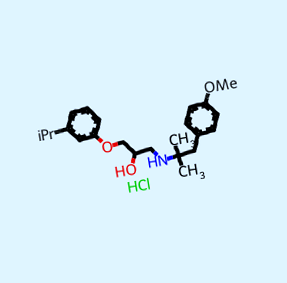 COc1ccc(CC(C)(C)NCC(O)COc2cccc(C(C)C)c2)cc1.Cl